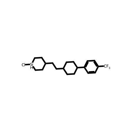 FC(F)(F)c1ccc(C2CCC(CCC3CC[SiH](Cl)CC3)CC2)cc1